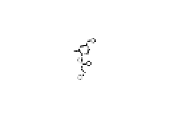 Cc1cc(C=O)ccc1OC(=O)CCCl